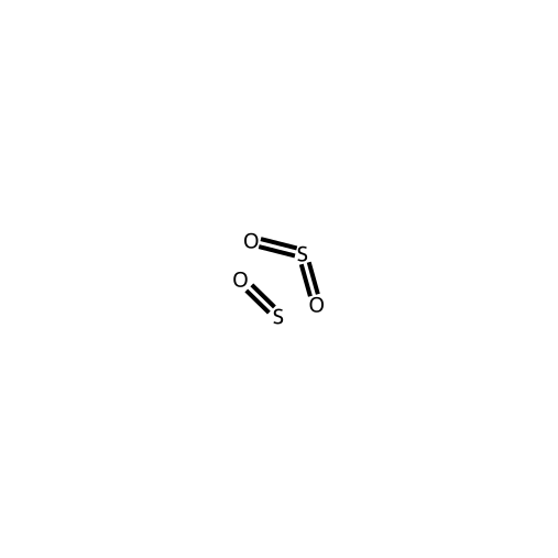 O=S.O=S=O